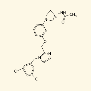 CC(=O)N[C@H]1CCN(c2cccc(OCc3nccn3Cc3cc(Cl)cc(Cl)c3)n2)C1